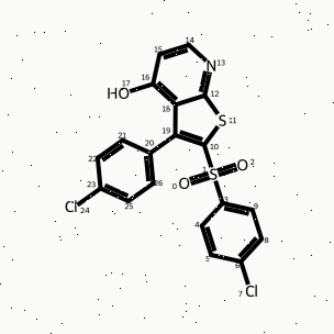 O=S(=O)(c1ccc(Cl)cc1)c1sc2nccc(O)c2c1-c1ccc(Cl)cc1